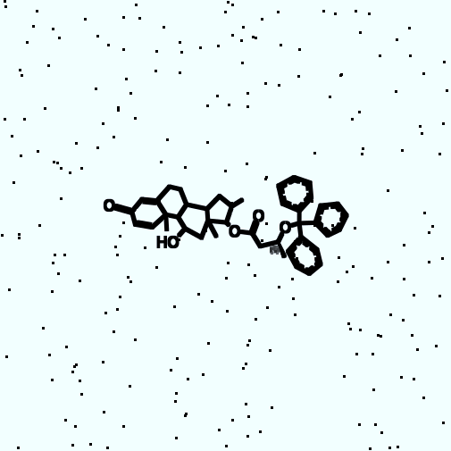 CC1CC2C3CCC4=CC(=O)C=CC4(C)C3C(O)CC2(C)C1OC(=O)C[C@H](C)OC(c1ccccc1)(c1ccccc1)c1ccccc1